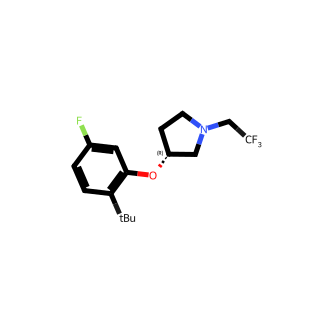 CC(C)(C)c1ccc(F)cc1O[C@@H]1CCN(CC(F)(F)F)C1